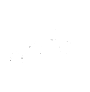 O=C(NO)[C@]1(NCc2ccc(-c3ccccc3)cc2)CC[C@@H](O)CC1